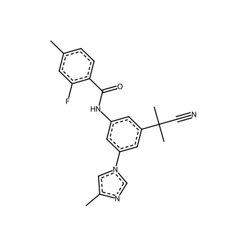 Cc1ccc(C(=O)Nc2cc(-n3cnc(C)c3)cc(C(C)(C)C#N)c2)c(F)c1